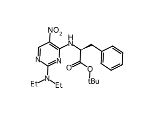 CCN(CC)c1ncc([N+](=O)[O-])c(N[C@@H](Cc2ccccc2)C(=O)OC(C)(C)C)n1